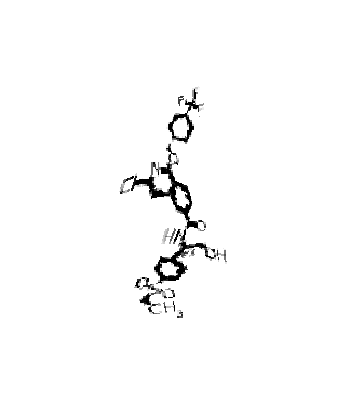 CCS(=O)(=O)c1ccc([C@H](CO)NC(=O)c2ccc3c(OC[C@H]4CC[C@H](C(F)(F)F)CC4)nc(Cl)cc3c2)cc1